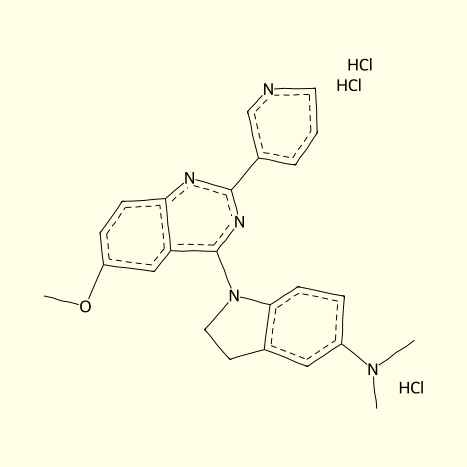 COc1ccc2nc(-c3cccnc3)nc(N3CCc4cc(N(C)C)ccc43)c2c1.Cl.Cl.Cl